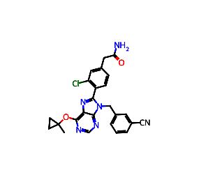 CC1(Oc2ncnc3c2nc(-c2ccc(CC(N)=O)cc2Cl)n3Cc2cccc(C#N)c2)CC1